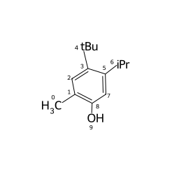 Cc1cc(C(C)(C)C)c(C(C)C)cc1O